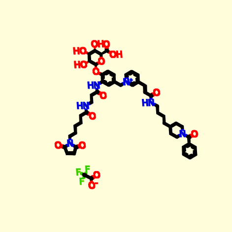 O=C(/C=C/c1ccc[n+](Cc2ccc(O[C@@H]3O[C@H](C(=O)O)[C@@H](O)[C@H](O)[C@H]3O)c(NC(=O)CCNC(=O)CCCCCN3C(=O)C=CC3=O)c2)c1)NCCCCC1CCN(C(=O)c2ccccc2)CC1.O=C([O-])C(F)(F)F